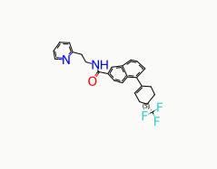 O=C(NCCc1ccccn1)c1ccc2c(C3=CC[C@@H](C(F)(F)F)CC3)cccc2c1